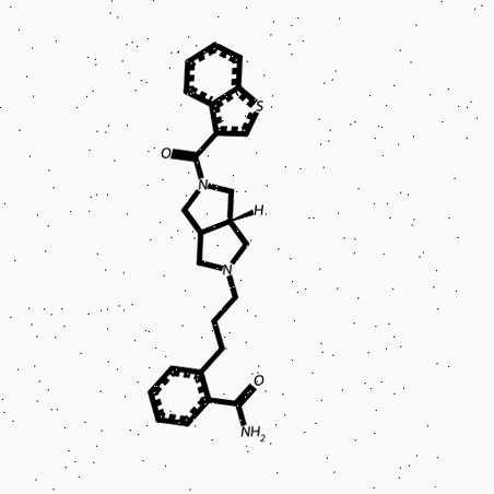 NC(=O)c1ccccc1[CH]CCN1CC2CN(C(=O)c3csc4ccccc34)C[C@@H]2C1